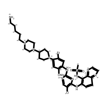 CCc1cc(Nc2ncc(Cl)c(Nc3ccc4nccnc4c3NS(C)(=O)=O)n2)c(OC)cc1N1CCC(N2CCN(CCCCCN)CC2)CC1